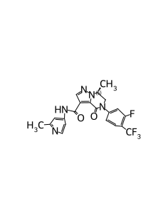 Cc1cc(NC(=O)c2cnn3c2C(=O)N(c2ccc(C(F)(F)F)c(F)c2)C[C@@H]3C)ccn1